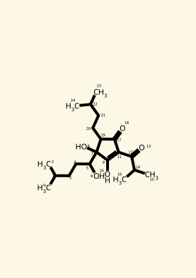 CC(C)CCC(O)C1(O)C(O)=C(C(=O)C(C)C)C(=O)C1CCC(C)C